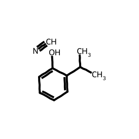 C#N.CC(C)c1ccccc1O